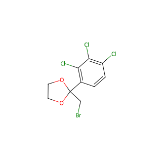 Clc1ccc(C2(CBr)OCCO2)c(Cl)c1Cl